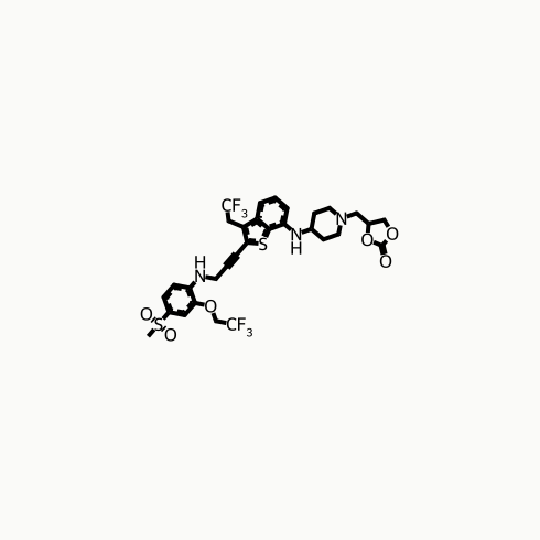 CS(=O)(=O)c1ccc(NCC#Cc2sc3c(NC4CCN(CC5COC(=O)O5)CC4)cccc3c2CC(F)(F)F)c(OCC(F)(F)F)c1